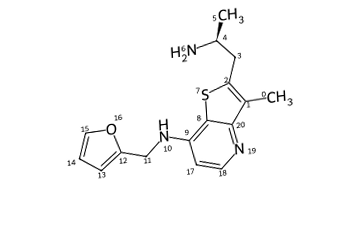 Cc1c(C[C@H](C)N)sc2c(NCc3ccco3)ccnc12